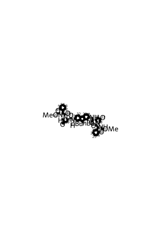 CCCCC1(CCCC)c2cc(NC(=O)[C@@H]3CC(=O)CN3C(=O)[C@H](NC(=O)OC)c3ccccc3)ccc2-c2ccc(NC(=O)[C@@H]3CC(=O)CN3C(=O)[C@H](NC(=O)OC)c3ccccc3)cc21